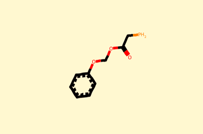 O=C(CP)OCOc1ccccc1